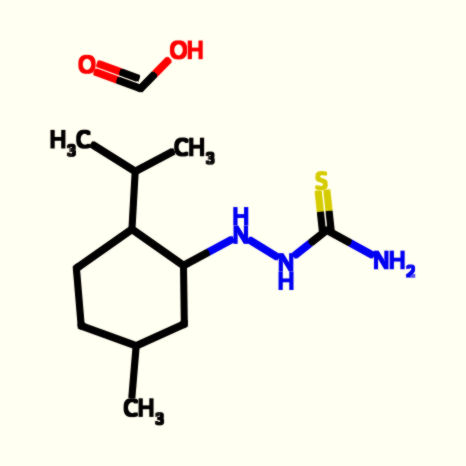 CC1CCC(C(C)C)C(NNC(N)=S)C1.O=CO